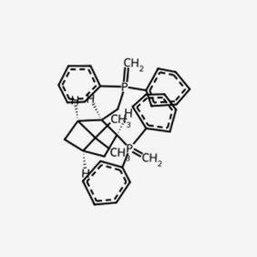 C=P(C[C@@H]1[C@@H]2C[C@H](C[C@@H]1P(=C)(c1ccccc1)c1ccccc1)C2(C)C)(c1ccccc1)c1ccccc1